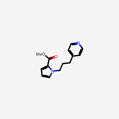 COC(=O)c1cccn1CCCc1ccncc1